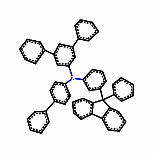 c1ccc(-c2ccc(N(c3cc(-c4ccccc4)cc(-c4ccccc4)c3)c3cccc(C4(c5ccccc5)c5ccccc5-c5ccccc54)c3)cc2)cc1